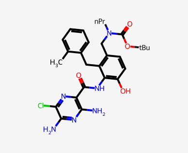 CCCN(Cc1ccc(O)c(NC(=O)c2nc(Cl)c(N)nc2N)c1Cc1ccccc1C)C(=O)OC(C)(C)C